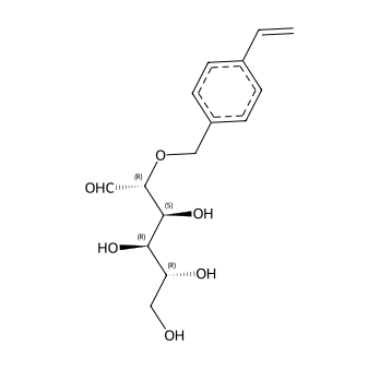 C=Cc1ccc(CO[C@@H](C=O)[C@@H](O)[C@H](O)[C@H](O)CO)cc1